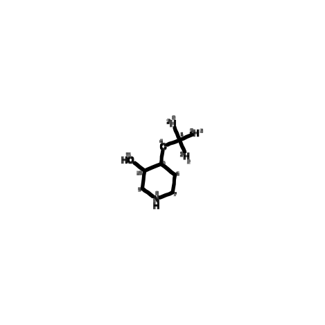 [2H]C([2H])([2H])OC1CCNCC1O